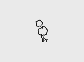 CC(C)N1CCC[Si]2(CCCC2)CC1